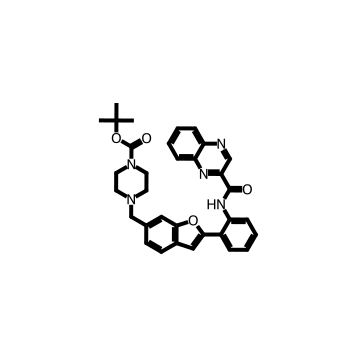 CC(C)(C)OC(=O)N1CCN(Cc2ccc3cc(-c4ccccc4NC(=O)c4cnc5ccccc5n4)oc3c2)CC1